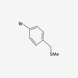 CSCc1ccc(Br)cc1